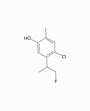 Cc1cc(Cl)c(C(C)CF)cc1O